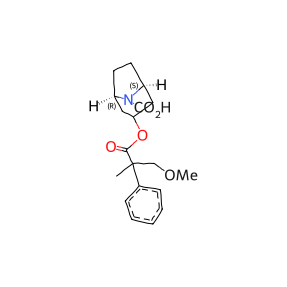 COCC(C)(C(=O)OC1C[C@H]2CC[C@@H](C1)N2C(=O)O)c1ccccc1